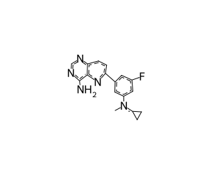 CN([C]1CC1)c1cc(F)cc(-c2ccc3ncnc(N)c3n2)c1